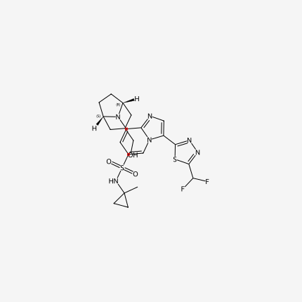 CC1(NS(=O)(=O)c2cc(N3[C@@H]4CC[C@H]3CC(CO)C4)c3ncc(-c4nnc(C(F)F)s4)n3c2)CC1